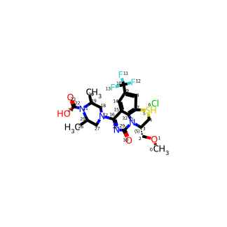 COC[C@H]1C[SH](Cl)c2cc(C(F)(F)F)cc3c(N4CC(C)N(C(=O)O)C(C)C4)nc(=O)n1c23